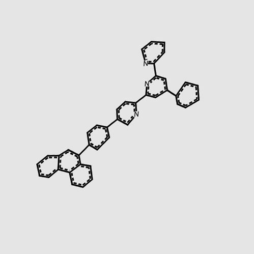 c1ccc(-c2cc(-c3ccccn3)nc(-c3ccc(-c4ccc(-c5cc6ccccc6c6ccccc56)cc4)cn3)c2)cc1